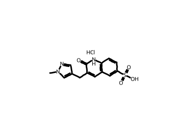 Cl.Cn1cc(Cc2cc3cc(S(=O)(=O)O)ccc3[nH]c2=O)cn1